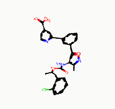 Cc1noc(-c2cccc(-c3cc(C(=O)O)ccn3)c2)c1NC(=O)OC(C)c1ccccc1Cl